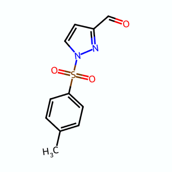 Cc1ccc(S(=O)(=O)n2ccc(C=O)n2)cc1